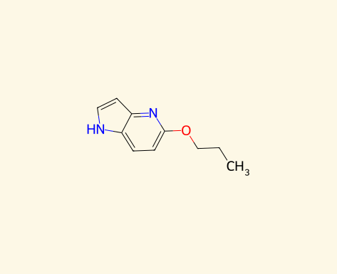 CCCOc1ccc2[nH]ccc2n1